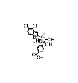 Cn1c(C(=O)N[C@@](O)(CO)c2ccc(C(=O)O)cc2)cc2c(Cl)c(Cl)ccc21